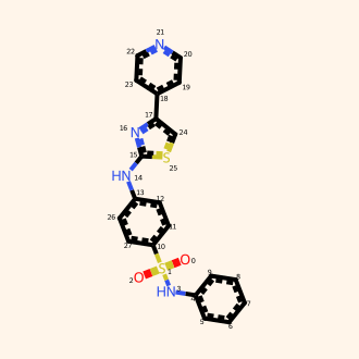 O=S(=O)(Nc1ccccc1)c1ccc(Nc2nc(-c3ccncc3)cs2)cc1